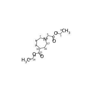 CCOC(=O)CN1CCCC(C(=O)OCC)CC1